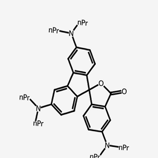 CCCN(CCC)c1ccc2c(c1)C(=O)OC21c2ccc(N(CCC)CCC)cc2-c2cc(N(CCC)CCC)ccc21